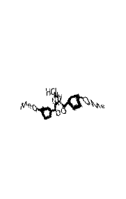 COc1ccc(C(=O)c2nnnn2C(=O)c2ccc(OC)cc2)cc1.Cl